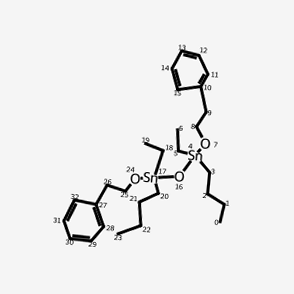 CCC[CH2][Sn]([CH2]C)([O]CCc1ccccc1)[O][Sn]([CH2]C)([CH2]CCC)[O]CCc1ccccc1